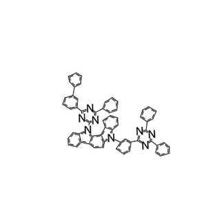 c1ccc(-c2cccc(-c3nc(-c4ccccc4)nc(-n4c5ccccc5c5ccc6c(c7ccccc7n6-c6cccc(-c7nc(-c8ccccc8)nc(-c8ccccc8)n7)c6)c54)n3)c2)cc1